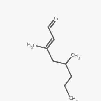 CCCC(C)CC(C)=CC=O